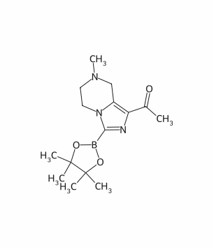 CC(=O)c1nc(B2OC(C)(C)C(C)(C)O2)n2c1CN(C)CC2